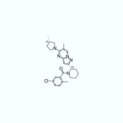 Cc1ccc(Cl)cc1C(=O)N1CCCC[C@H]1c1cc2nc(N3CC[C@H](C)C3)c(C)cn2n1